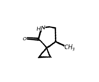 CC1CNC(=O)C12CC2